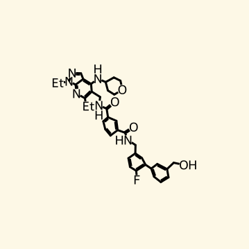 CCc1nc2c(cnn2CC)c(NC2CCOCC2)c1CNC(=O)c1cccc(C(=O)NCc2ccc(F)c(-c3cccc(CO)c3)c2)c1